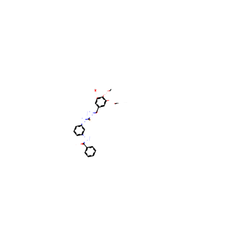 CCOc1cc(C(=O)NC(=S)Nc2cccc(NC(=O)c3ccccc3)c2)cc(OC)c1OCC